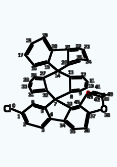 Clc1ccc2c(c1)C1(c3ccccc3C3(c4ccccc4-c4ccccc43)c3ccccc31)c1c-2ccc2oc3ccccc3c12